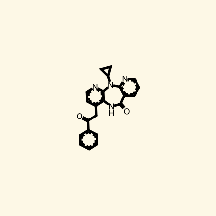 O=C(Cc1ccnc2c1NC(=O)c1cccnc1N2C1CC1)c1ccccc1